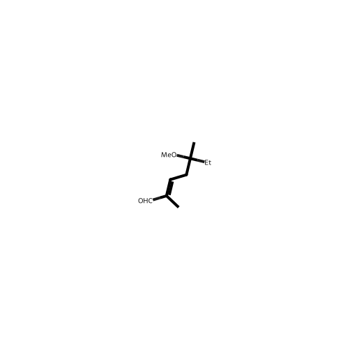 CCC(C)(CC=C(C)C=O)OC